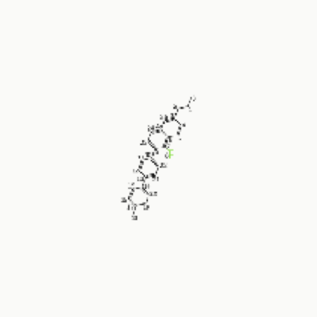 CCCc1ccc2c(F)c(-c3ccc(-c4ccc(C)cc4)cc3)ccc2c1